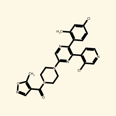 Cc1cc(Cl)ccc1-c1ncc(N2CCN(C(=O)c3cnoc3C)CC2)nc1-c1ccncc1Cl